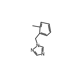 Cc1ccccc1Cn1cncn1